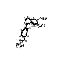 COc1cc2ncnc(-c3ccc(CN[SH](=O)=O)cc3)c2cc1OC